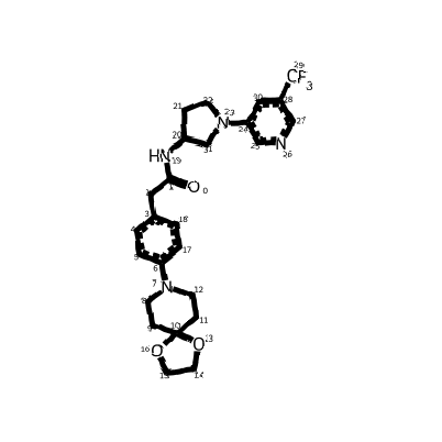 O=C(Cc1ccc(N2CCC3(CC2)OCCO3)cc1)NC1CCN(c2cncc(C(F)(F)F)c2)C1